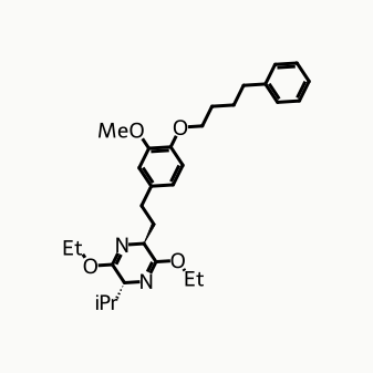 CCOC1=N[C@H](C(C)C)C(OCC)=N[C@H]1CCc1ccc(OCCCCc2ccccc2)c(OC)c1